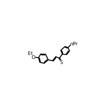 CCCc1ccc(C(=S)C=Cc2ccc(OCC)cc2)cc1